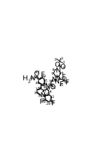 CC(C)(C)OC(=O)N1CCc2c(c(C(F)(F)F)nn2CC(=O)NC(Cc2cc(F)cc(F)c2)c2ncccc2-c2ccc(F)c(C(N)=O)c2)C1